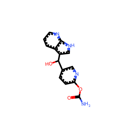 NC(=O)Oc1ccc(C(O)c2c[nH]c3ncccc23)cn1